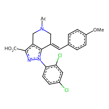 COc1ccc(C=C2CN(C(C)=O)Cc3c(C(=O)O)nn(-c4ccc(Cl)cc4Cl)c32)cc1